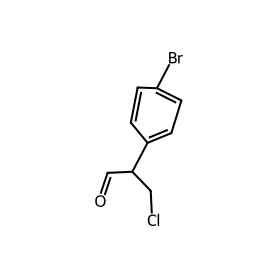 O=CC(CCl)c1ccc(Br)cc1